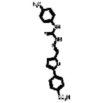 O=C(O)c1ccc(-c2ccc(/C=N/NC(=S)Nc3ccc(C(F)(F)F)cc3)o2)cc1